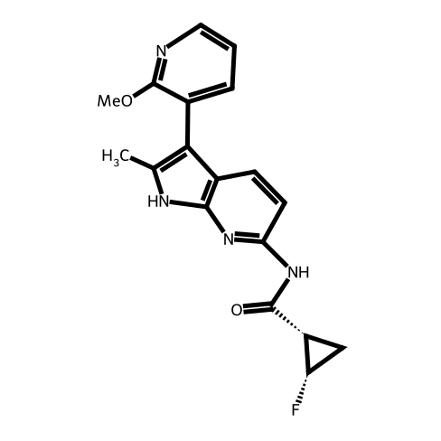 COc1ncccc1-c1c(C)[nH]c2nc(NC(=O)[C@@H]3C[C@@H]3F)ccc12